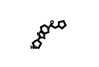 O=C(CC1CCCC1)N1CCc2nc(C3CCNCC3)sc2C1